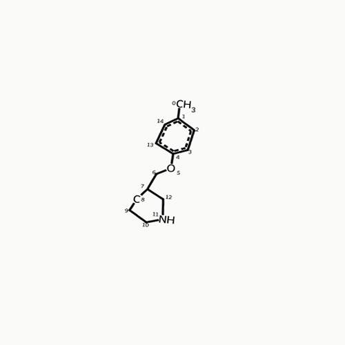 Cc1ccc(OCC2CCCNC2)cc1